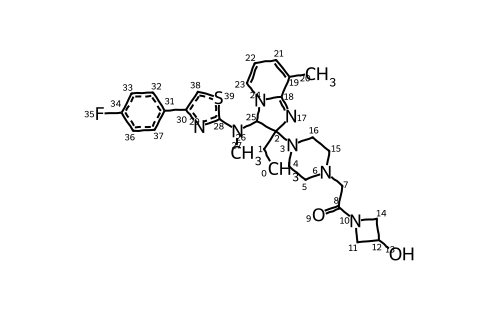 CCC1(N2CCN(CC(=O)N3CC(O)C3)CC2)N=C2C(C)=CC=CN2C1N(C)c1nc(-c2ccc(F)cc2)cs1